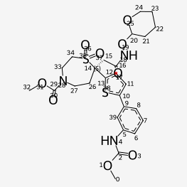 COC(=O)Nc1cccc(-c2ccc([C@@]3(CC(=O)NOC4CCCCO4)CCN(C(=O)OC)CCS3(=O)=O)s2)c1